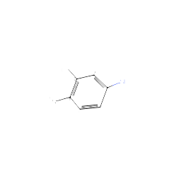 [NH]c1ccc([N+](=O)[O-])c(S(=O)(=O)O)c1